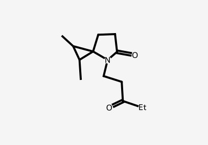 CCC(=O)CCN1C(=O)CCC12C(C)C2C